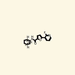 O=C(N[C@@H]1C[C@H]2CC[C@@H]1N2)c1ccc(-c2cccnc2F)o1